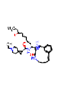 CCC(=O)CCCCC[C@H](NC(=O)[C@H]1CC12CCN(CC)CC2)c1[nH]c2nc1C(=O)NCCC/C=C/c1cccc-2c1